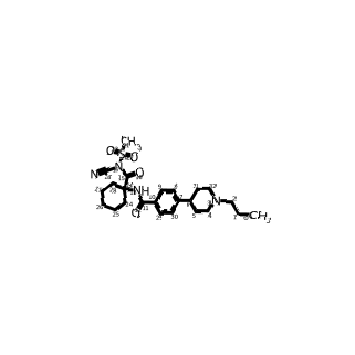 CCCN1CCC(c2ccc(C(=O)NC3(C(=O)N(C#N)S(C)(=O)=O)CCCCC3)cc2)CC1